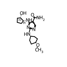 CO[C@H]1CC[C@H](Nc2ncc(C(N)=O)c(N[C@@H]3CCC[C@@H]3O)n2)CC1